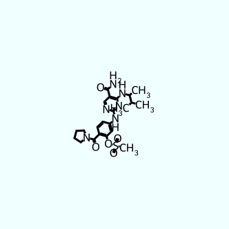 CC(C)C(C)Nc1nc(Nc2ccc(C(=O)N3CCCC3)c(OS(C)(=O)=O)c2)ncc1C(N)=O